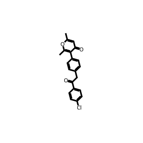 Cc1cc(=O)c(-c2ccc(CC(=O)c3ccc(Cl)cc3)cc2)c(C)o1